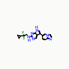 FC(F)(CNc1ncc2c(-c3ccc4nccn4c3)c[nH]c2n1)C1CC1